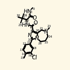 CNC(=O)[C@@H](NC(=O)c1nc(-c2ccc(C)c(Cl)c2)n2c1CN(C)CCC2)C(C)(C)C